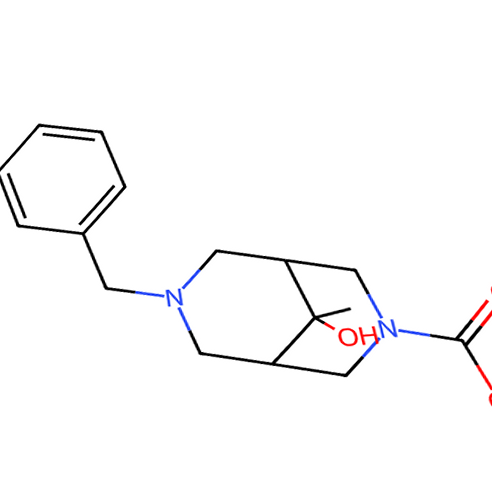 CC1(O)C2CN(Cc3ccccc3)CC1CN(C(=O)O)C2